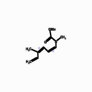 C=C/C(C)=C\C=C/N(C)C(=O)OC